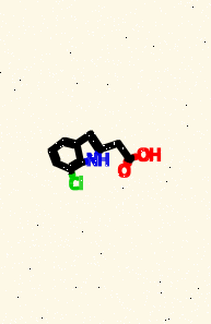 O=C(O)Cc1cc2cccc(Cl)c2[nH]1